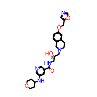 O=C(NC[C@H](O)CN1CCc2cc(OCc3cnco3)ccc2C1)c1cncc(NC2CCOCC2)c1